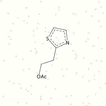 CC(=O)OCCc1nccs1